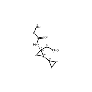 CC(C)(C)OC(=O)N[C@@]1(OC=O)C[C@@H]1C1CC1